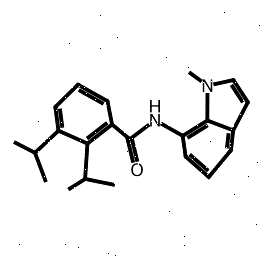 CC(C)c1cccc(C(=O)Nc2cccc3ccn(C)c23)c1C(C)C